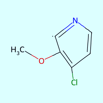 COc1[c]nccc1Cl